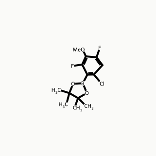 COc1c(F)cc(Cl)c(B2OC(C)(C)C(C)(C)O2)c1F